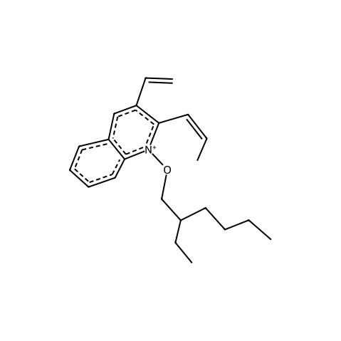 C=Cc1cc2ccccc2[n+](OCC(CC)CCCC)c1/C=C\C